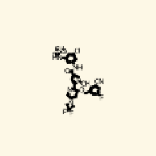 Cn1cc(C(=O)Nc2cc(Cl)cc(NS(C)(=O)=O)c2)cc1-c1ncc(N2CC(F)(F)C2)cc1OCc1cc(F)cc(C#N)c1